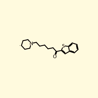 O=C(CCCCCN1CC[CH]CC1)c1cc2ccccc2s1